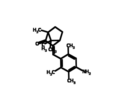 Cc1cc(N)c(C)c(C)c1C=C1C(=O)C2(C)CCC1C2(C)C